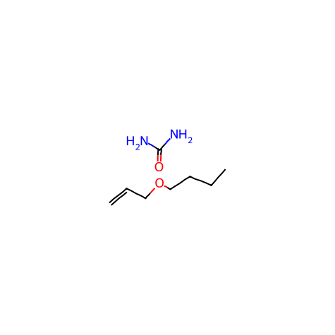 C=CCOCCCC.NC(N)=O